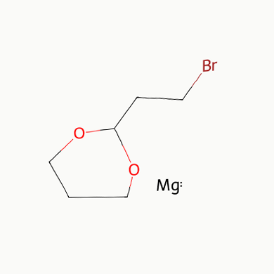 BrCCC1OCCCO1.[Mg]